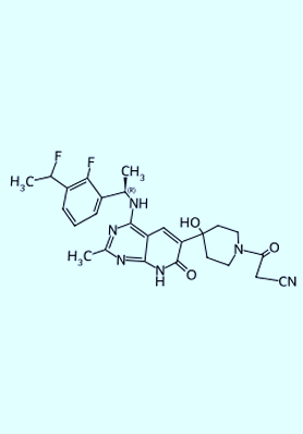 Cc1nc(N[C@H](C)c2cccc(C(C)F)c2F)c2cc(C3(O)CCN(C(=O)CC#N)CC3)c(=O)[nH]c2n1